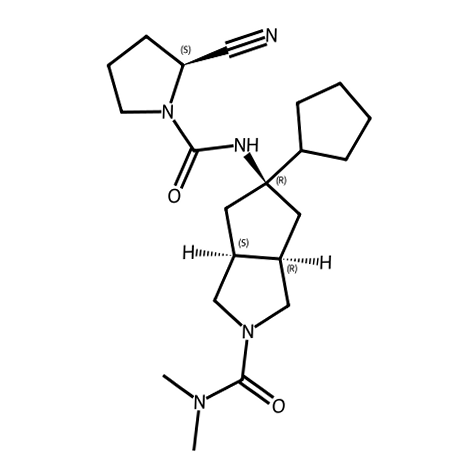 CN(C)C(=O)N1C[C@@H]2C[C@@](NC(=O)N3CCC[C@H]3C#N)(C3CCCC3)C[C@@H]2C1